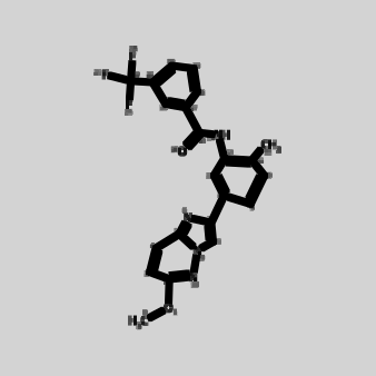 COc1ccc2nc(-c3ccc(C)c(NC(=O)c4cccc(C(F)(F)F)c4)c3)cn2n1